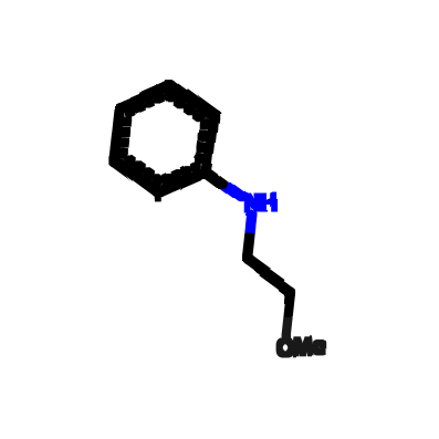 COCCNc1[c]cccc1